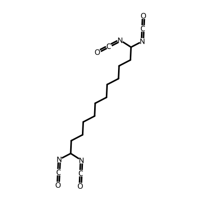 O=C=NC(CCCCCCCCCCC(N=C=O)N=C=O)N=C=O